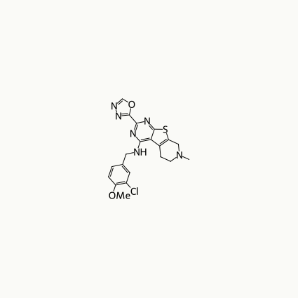 COc1ccc(CNc2nc(-c3nnco3)nc3sc4c(c23)CCN(C)C4)cc1Cl